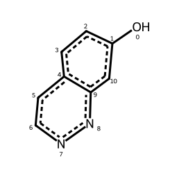 Oc1ccc2ccnnc2c1